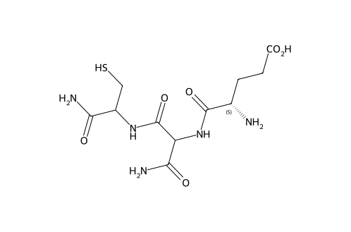 NC(=O)C(CS)NC(=O)C(NC(=O)[C@@H](N)CCC(=O)O)C(N)=O